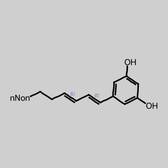 CCCCCCCCCCC/C=C/C=C/c1cc(O)cc(O)c1